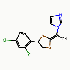 N#C/C(=C1\SC[C@H](c2ccc(Cl)cc2Cl)S1)n1ccnc1